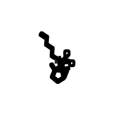 C=CCCCN1C2(CC3CCC2(C)C3(C)C)S1(=O)=O